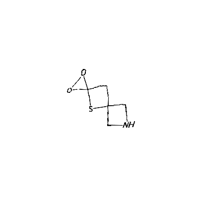 C1NCC12CC1(OO1)S2